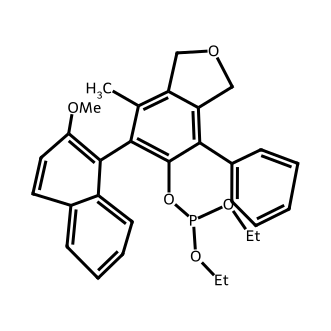 CCOP(OCC)Oc1c(-c2c(OC)ccc3ccccc23)c(C)c2c(c1-c1ccccc1)COC2